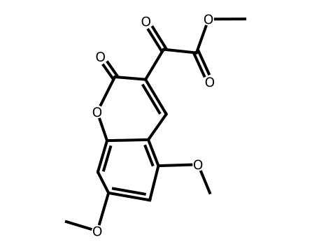 COC(=O)C(=O)c1cc2c(OC)cc(OC)cc2oc1=O